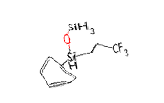 FC(F)(F)CC[SiH](O[SiH3])c1ccccc1